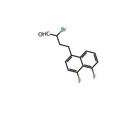 O=CC(Br)CCc1ccc(F)c2c(F)cccc12